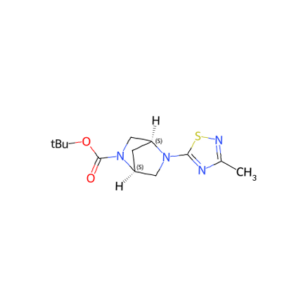 Cc1nsc(N2C[C@@H]3C[C@H]2CN3C(=O)OC(C)(C)C)n1